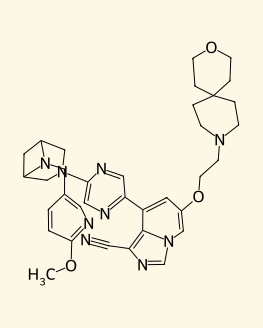 COc1ccc(CN2C3CC2CN(c2cnc(-c4cc(OCCN5CCC6(CCOCC6)CC5)cn5cnc(C#N)c45)cn2)C3)cn1